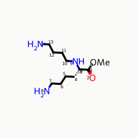 COC(=O)[C@H](CCCCN)NCCCCN